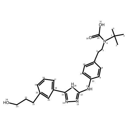 CC(C)(C)N(CCc1ccc(Nc2nnc(-c3cccc(CCCO)c3)[nH]2)cc1)C(=O)O